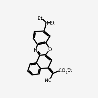 CCOC(=O)/C(C#N)=c1\cc2c(c3ccccc13)=Nc1ccc(N(CC)CC)cc1O2